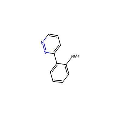 CNc1ccccc1-c1cccnn1